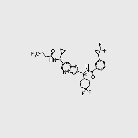 O=C(CCC(F)(F)F)NC(c1cnn2cc([C@@H](NC(=O)c3cccc(C4CC4(F)F)c3)C3CCC(F)(F)CC3)nc2c1)C1CC1